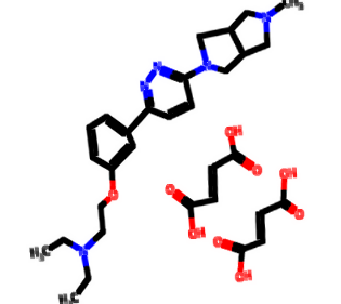 CCN(CC)CCOc1cccc(-c2ccc(N3CC4CN(C)CC4C3)nn2)c1.O=C(O)C=CC(=O)O.O=C(O)C=CC(=O)O